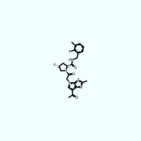 CC(=O)c1cn(CC(=O)N2C[C@H](F)C[C@H]2C(=O)NCc2cccc(C)c2F)c2sc(C)nc12